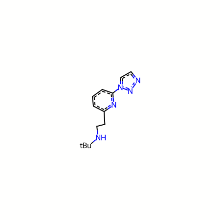 CC(C)(C)NCCc1cccc(-n2ccnn2)n1